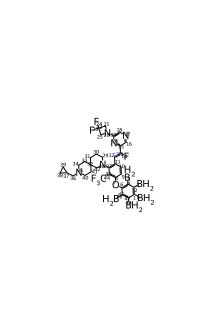 Bc1c(B)c(B)c(Oc2ccc(/C=C(\F)c3cncc(N4CC(F)(F)C4)n3)c(N3CCCC4(CCN(CC5CC5)CC4)C3)c2C(F)(F)F)c(B)c1B